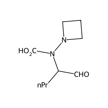 CCCC(C=O)N(C(=O)O)N1CCC1